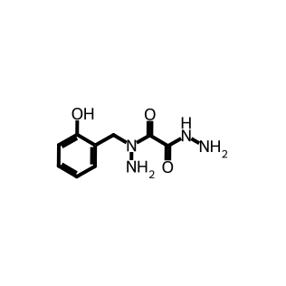 NNC(=O)C(=O)N(N)Cc1ccccc1O